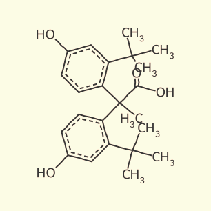 CC(C)(C)c1cc(O)ccc1C(C)(C(=O)O)c1ccc(O)cc1C(C)(C)C